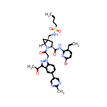 C=CCCS(=O)(=O)NC[C@@]12C[C@@H](C(=O)Nc3nc(Br)ccc3C=C)N(C(=O)Cn3nc(C(C)=O)c4cc(-c5cnc(C)nc5)ccc43)[C@@H]1C2